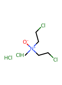 C[N+]([O-])(CCCl)CCCl.Cl.Cl